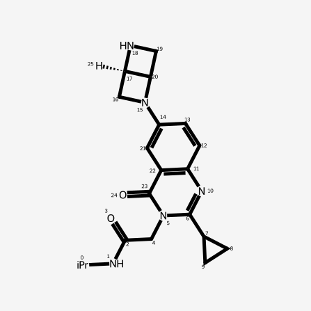 CC(C)NC(=O)Cn1c(C2CC2)nc2ccc(N3C[C@H]4NCC43)cc2c1=O